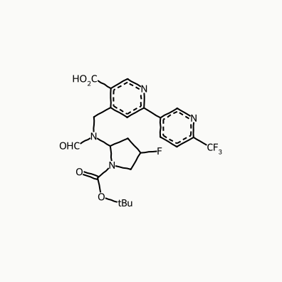 CC(C)(C)OC(=O)N1CC(F)CC1N(C=O)Cc1cc(-c2ccc(C(F)(F)F)nc2)ncc1C(=O)O